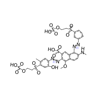 CNc1ccc2c(OC)c(/N=N/c3cc(C)c(S(=O)(=O)CCOS(=O)(=O)O)cc3O)c(S(=O)(=O)O)cc2c1/N=N/c1cccc(S(=O)(=O)CCOS(=O)(=O)O)c1